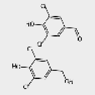 O=Cc1cc(Cl)c(O)c(Cl)c1.OCc1cc(Cl)c(O)c(Cl)c1